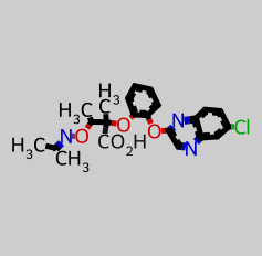 CC(C)=NOC(C)C(C)(Oc1ccccc1Oc1cnc2cc(Cl)ccc2n1)C(=O)O